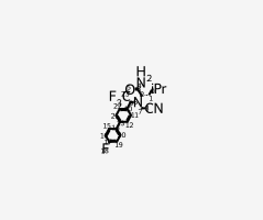 CC(C)C[C@@H](C(N)=O)N(CC#N)[C@@H](c1ccc(-c2ccc(F)cc2)cc1)C(F)(F)F